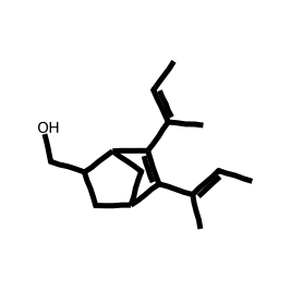 C/C=C(\C)C1=C(/C(C)=C/C)C2CC1CC2CO